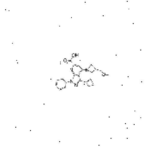 COCC1CN(c2cc(C(=O)O)nc3c2c(C2CCC2)nn3-c2ccccc2)C1